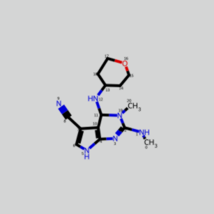 CNC1=Nc2[nH]cc(C#N)c2C(NC2CCOCC2)N1C